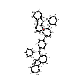 c1ccc(N(c2ccc(-c3ccc(-c4ccccc4-n4c5ccccc5c5ccccc54)cc3)cc2)c2cccc3c2oc2ccccc23)cc1